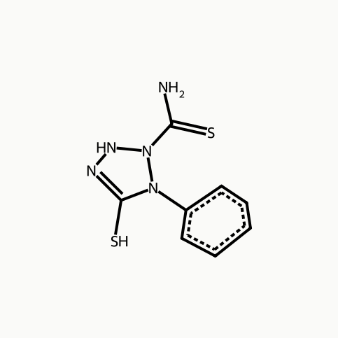 NC(=S)N1NN=C(S)N1c1ccccc1